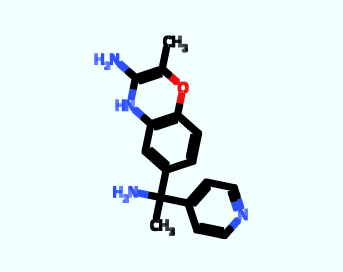 CC1=C(N)Nc2cc(C(C)(N)c3ccncc3)ccc2O1